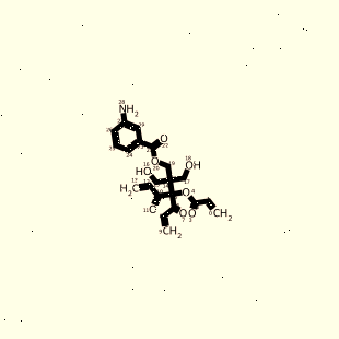 C=CC(=O)OC(C(=O)C=C)(C(=O)C=C)C(CO)(CO)COC(=O)c1cccc(N)c1